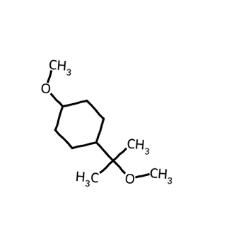 COC1CCC(C(C)(C)OC)CC1